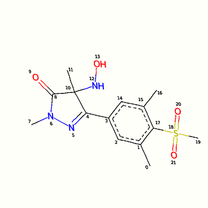 Cc1cc(C2=NN(C)C(=O)C2(C)NO)cc(C)c1S(C)(=O)=O